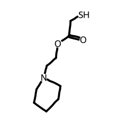 O=C(CS)OCCN1CCCCC1